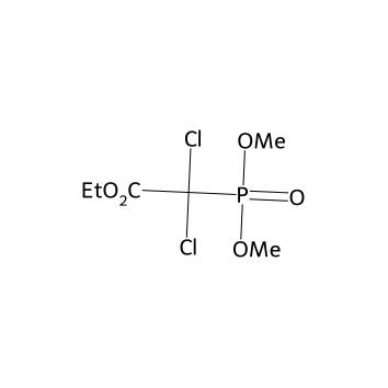 CCOC(=O)C(Cl)(Cl)P(=O)(OC)OC